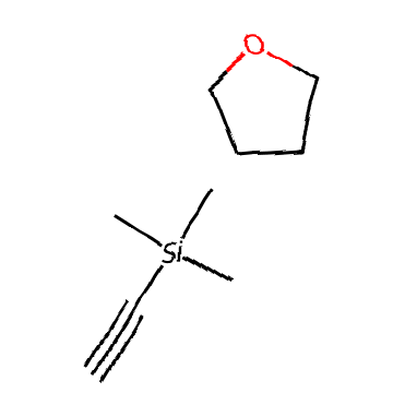 C#C[Si](C)(C)C.C1CCOC1